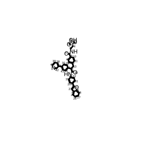 O=C(NCCS(=O)(=O)O)c1ccc(CC(C(=O)Nc2ccc(-c3cc4ccccc4o3)cc2)c2ccc(-c3cccnc3)cc2)cc1